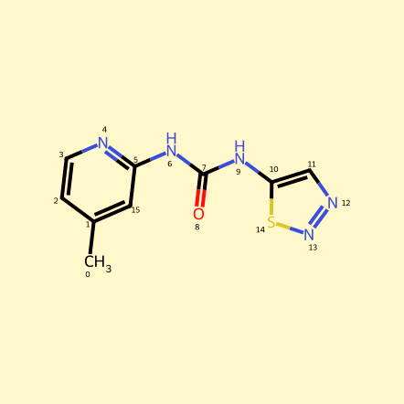 Cc1ccnc(NC(=O)Nc2cnns2)c1